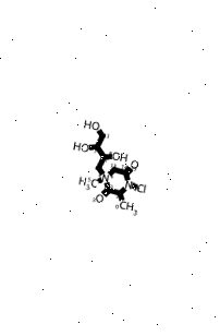 CC1C(=O)[N+](C)(CC(O)C(O)CO)CC(=O)N1Cl